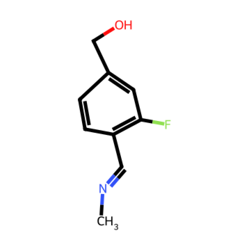 C/N=C/c1ccc(CO)cc1F